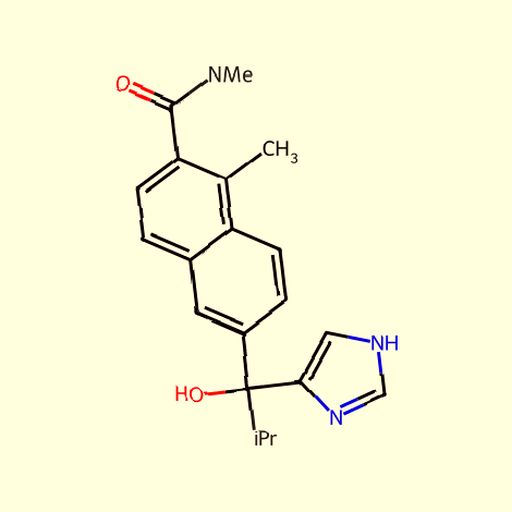 CNC(=O)c1ccc2cc(C(O)(c3c[nH]cn3)C(C)C)ccc2c1C